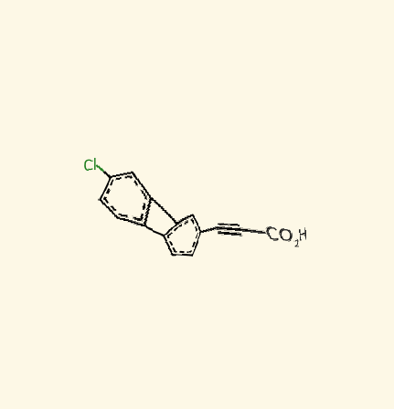 O=C(O)C#Cc1ccc2c(c1)-c1cc(Cl)ccc1-2